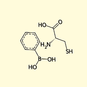 N[C@@H](CS)C(=O)O.OB(O)c1ccccc1